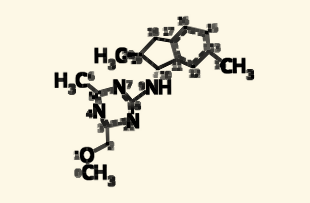 COCc1nc(C)nc(N[C@H]2c3cc(C)ccc3C[C@@H]2C)n1